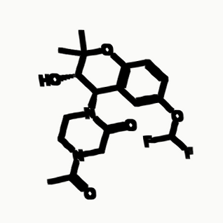 CC(=O)N1CCN([C@@H]2c3cc(OC(F)F)ccc3OC(C)(C)[C@H]2O)C(=O)C1